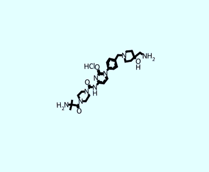 CC(C)(N)C(=O)N1CCN(C(=O)Nc2ccn(-c3ccc(CN4CCC(O)(CN)CC4)cc3)c(=O)n2)CC1.Cl